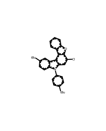 CC(C)(C)c1ccc(-n2c3ccc(C(C)(C)C)cc3c3c4c(oc5ccccc54)c(Cl)cc32)cc1